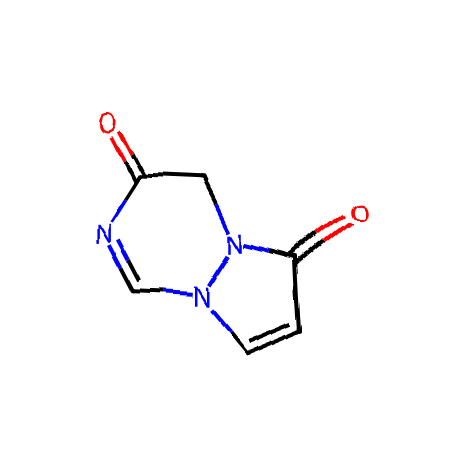 O=C1Cn2c(=O)ccn2C=N1